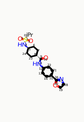 CC(C)S(=O)(=O)N[C@H]1CC[C@H](C(=O)Nc2ccc(-c3ncco3)cc2)CC1